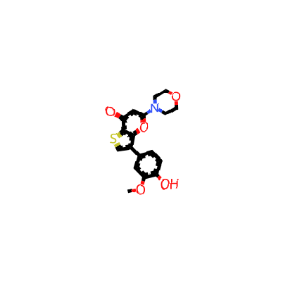 COc1cc(-c2csc3c(=O)cc(N4CCOCC4)oc23)ccc1O